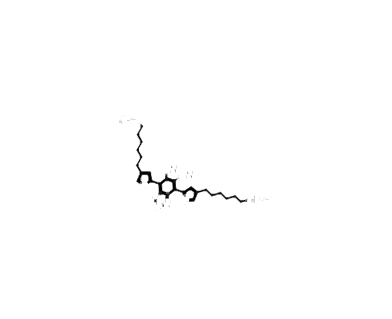 CCCCCCCCCCCCCCCCc1csc(-c2c(C#N)c(C#N)c(-c3cc(CCCCCCCCCCCCCCCC)cs3)c3nsnc23)c1